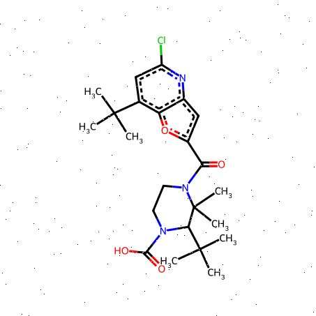 CC(C)(C)c1cc(Cl)nc2cc(C(=O)N3CCN(C(=O)O)C(C(C)(C)C)C3(C)C)oc12